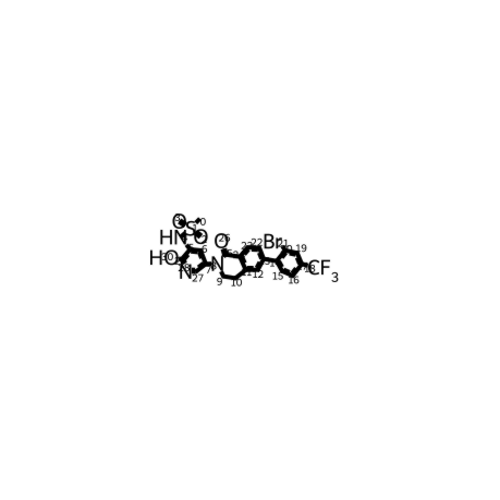 CS(=O)(=O)Nc1cc(N2CCc3cc(-c4ccc(C(F)(F)F)cc4Br)ccc3C2=O)cnc1O